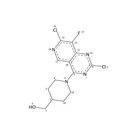 OCC1CCN(c2nc(Cl)nc3c(F)c(Cl)ncc23)CC1